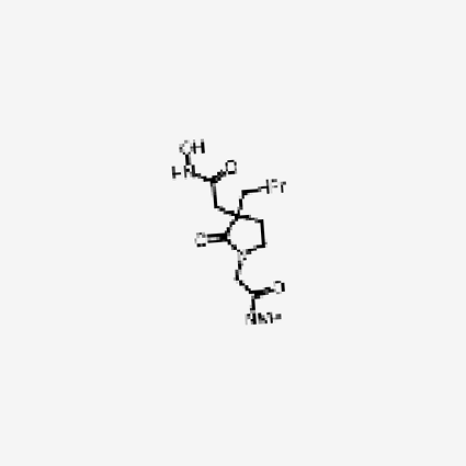 CNC(=O)CN1CCC(CC(=O)NO)(CC(C)C)C1=O